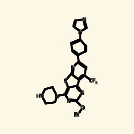 CCOc1nc(N2CCNCC2)c2sc3nc(-c4ccc(-n5ccnc5)cc4)cc(C(F)(F)F)c3c2n1